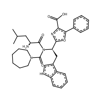 CC(C)C[C@H](N)C(=O)N(C(=O)N1CCCCCC1)[C@H](Cc1c[nH]c2ccccc12)c1nc(C(=O)O)c(-c2ccccc2)o1